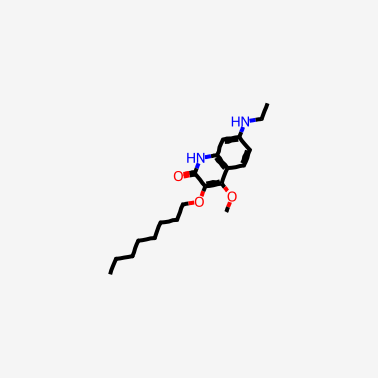 CCCCCCCCOc1c(OC)c2ccc(NCC)cc2[nH]c1=O